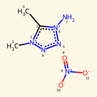 Cc1n(C)nn[n+]1N.O=[N+]([O-])[O-]